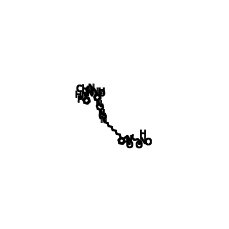 COc1cc(N2CCC(N3CCN(CCCCCCCCc4cccc5c4CN(C(C)CCC(=O)NC=O)C5=O)CC3)CC2)ccc1Nc1ncc(Cl)c(Nc2ccccc2P(C)C)n1